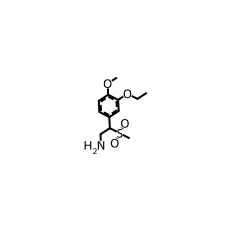 CCOc1cc(C(CN)S(C)(=O)=O)ccc1OC